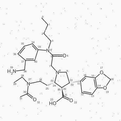 CCCCN(C(=O)CN1C[C@H](c2ccc3c(c2)OCO3)[C@@H](C(=O)O)[C@@H]1CCN(CC)C(C)=O)c1cccc(CN)c1